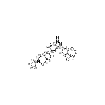 O=C1NCCOc2cc(-c3n[nH]c4ncc(-c5ccc6c(c5)CCN(C5CCCC5)CC6)cc34)ccc21